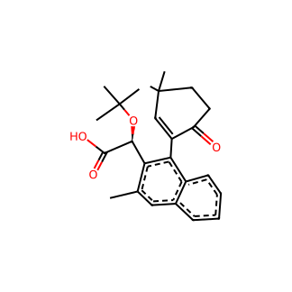 Cc1cc2ccccc2c(C2=CC(C)(C)CCC2=O)c1[C@H](OC(C)(C)C)C(=O)O